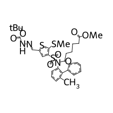 COC(=O)CCCCC(=O)N(c1cccc(C)c1-c1ccccc1)S(=O)(=O)c1cc(C=NNC(=O)OC(C)(C)C)sc1SC